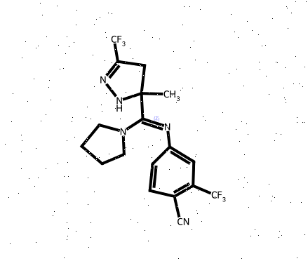 CC1(/C(=N/c2ccc(C#N)c(C(F)(F)F)c2)N2CCCC2)CC(C(F)(F)F)=NN1